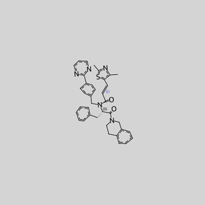 Cc1nc(C)c(/C=C/C(=O)N(Cc2ccc(-c3ncccn3)cc2)[C@@H](Cc2ccccc2)C(=O)N2CCc3ccccc3C2)s1